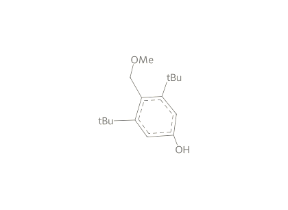 COCc1c(C(C)(C)C)cc(O)cc1C(C)(C)C